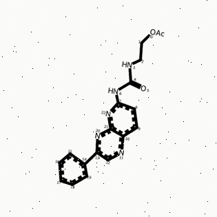 CC(=O)OCCNC(=O)Nc1ccc2ncc(-c3ccccc3)nc2n1